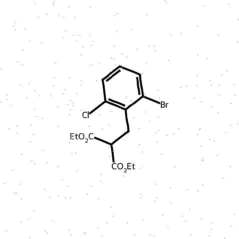 CCOC(=O)C(Cc1c(Cl)cccc1Br)C(=O)OCC